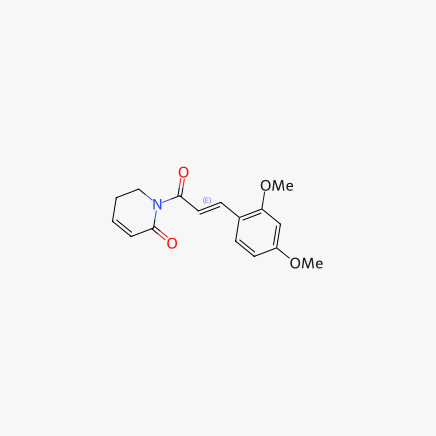 COc1ccc(/C=C/C(=O)N2CCC=CC2=O)c(OC)c1